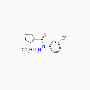 NN(C(=O)C1=C(C(=O)O)CCC1)c1cccc(C(F)(F)F)c1